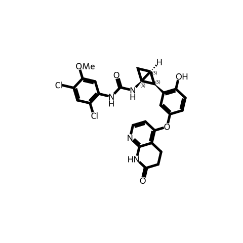 COc1cc(NC(=O)N[C@@]23C[C@H]2[C@H]3c2cc(Oc3ccnc4c3CCC(=O)N4)ccc2O)c(Cl)cc1Cl